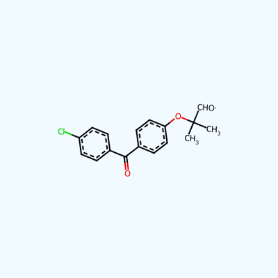 CC(C)([C]=O)Oc1ccc(C(=O)c2ccc(Cl)cc2)cc1